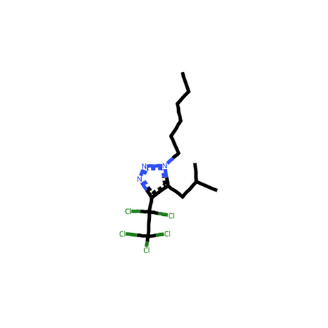 CCCCCCn1nnc(C(Cl)(Cl)C(Cl)(Cl)Cl)c1CC(C)C